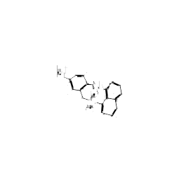 [CH2][CH]Oc1ccc([N+](=O)[O-])c(CS(=O)(=O)c2cccc3ccccc23)c1